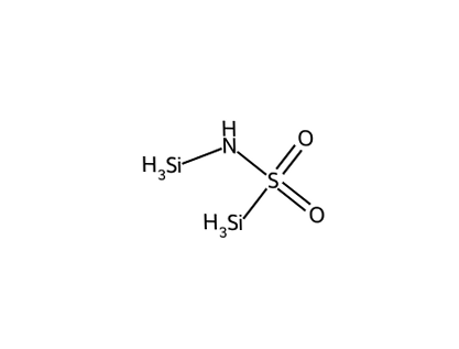 O=S(=O)([SiH3])N[SiH3]